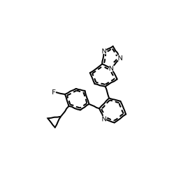 Fc1ccc(-c2ncccc2-c2ccc3ncnn3c2)cc1C1CC1